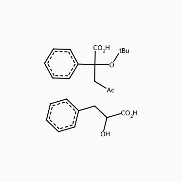 CC(=O)CC(OC(C)(C)C)(C(=O)O)c1ccccc1.O=C(O)C(O)Cc1ccccc1